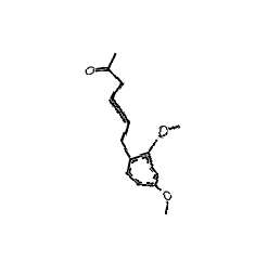 COc1ccc(CC=CCC(C)=O)c(OC)c1